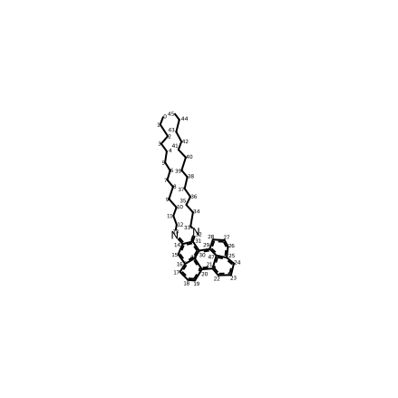 CCCCCCCCCCCCCN=c1cc2cccc3c4cccc5cccc(c(c1=NCCCCCCCCCCCCC)c23)c54